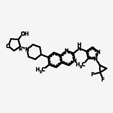 Cc1cc2cnc(Nc3cnn(C4CC4(F)F)c3C)nc2cc1C1CCN([C@@H]2COCC2O)CC1